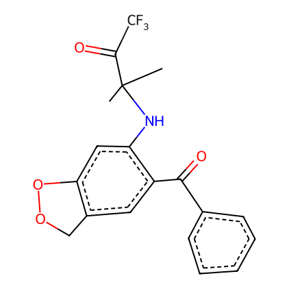 CC(C)(Nc1cc2c(cc1C(=O)c1ccccc1)COO2)C(=O)C(F)(F)F